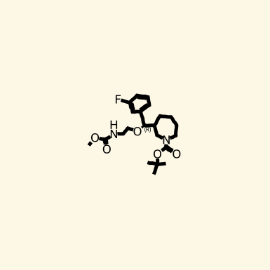 COC(=O)NCCO[C@@H](c1cccc(F)c1)C1CCCCN(C(=O)OC(C)(C)C)C1